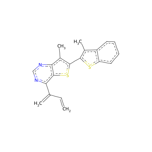 C=CC(=C)c1ncnc2c(C)c(-c3sc4ccccc4c3C)sc12